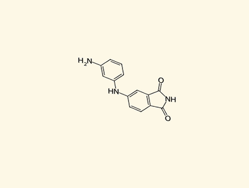 Nc1cccc(Nc2ccc3c(c2)C(=O)NC3=O)c1